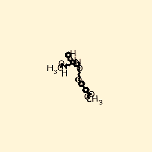 COC(=O)c1ccc(-c2ccc(OCCCCOc3cnc4[nH]c(Cc5ccccc5)c(CCNC(C)=O)c4c3)cc2)cc1